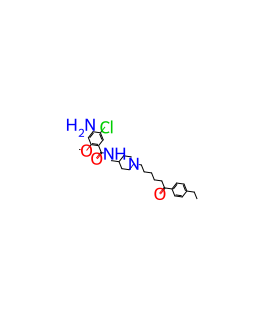 CCc1ccc(C(=O)CCCCCN2CCC(CNC(=O)c3cc(Cl)c(N)cc3OC)CC2)cc1